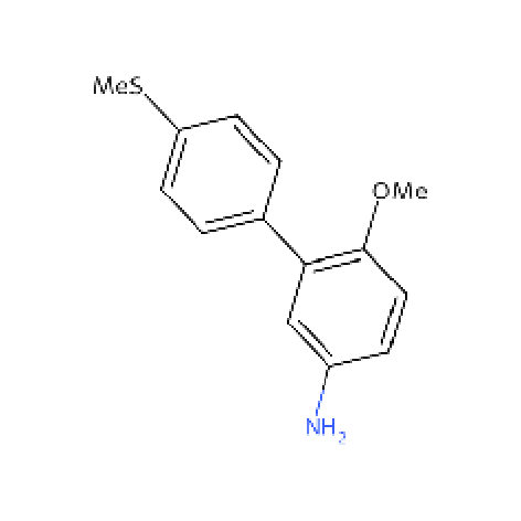 COc1ccc(N)cc1-c1ccc(SC)cc1